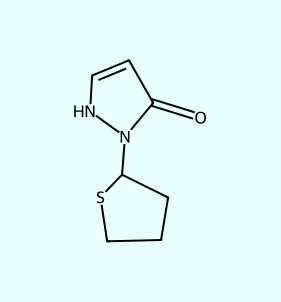 O=c1cc[nH]n1C1CCCS1